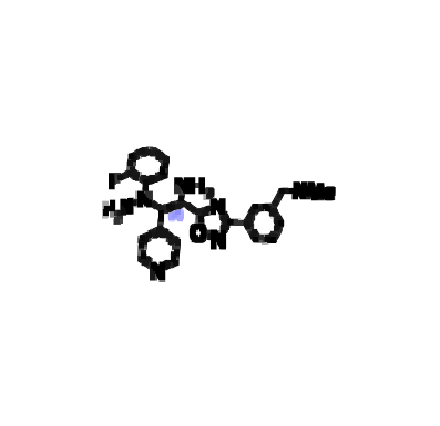 CNCc1cccc(-c2noc(/C(N)=C(\c3ccncc3)N(N)c3ccccc3F)n2)c1